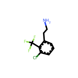 NCCc1cccc(Cl)c1C(F)(F)F